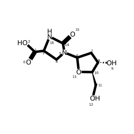 O=C(O)C1CN(C2C[C@H](O)[C@@H](CO)O2)C(=O)N1